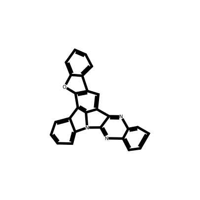 c1ccc2nc3c(nc2c1)c1cc2c4ccccc4oc2c2c4ccccc4n3c12